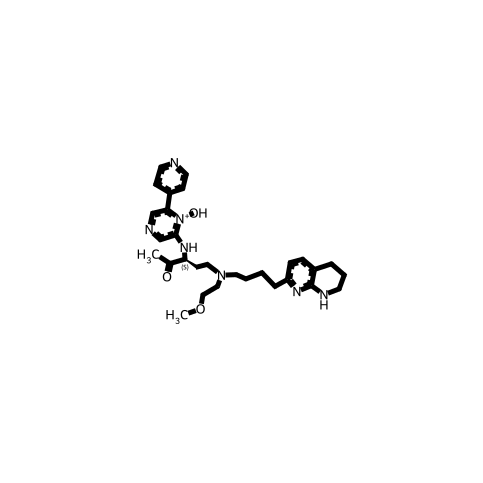 COCCN(CCCCc1ccc2c(n1)NCCC2)CC[C@H](Nc1cncc(-c2ccncc2)[n+]1O)C(C)=O